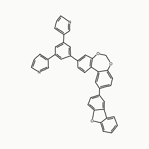 c1cncc(-c2cc(-c3cccnc3)cc(-c3ccc4c(c3)OCOc3ccc(-c5ccc6oc7ccccc7c6c5)cc3-4)c2)c1